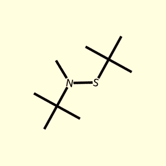 CN(SC(C)(C)C)C(C)(C)C